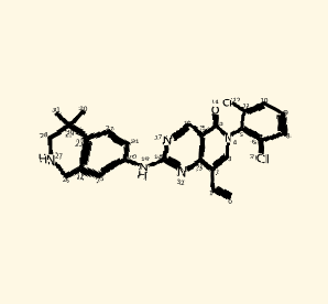 C=Cc1cn(-c2c(Cl)cccc2Cl)c(=O)c2cnc(Nc3ccc4c(c3)CNCC4(C)C)nc12